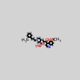 COc1ccc2nccc(C(O)CC[C@@H]3CCN(CCCc4ccccc4C)C[C@@H]3C(=O)O)c2c1